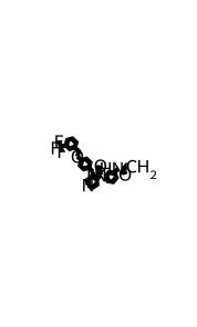 C=CC(=O)Nc1cccc(-n2c(=O)n(-c3ccc(OCc4cccc(C(F)(F)F)c4)cc3)c3cnccc32)c1